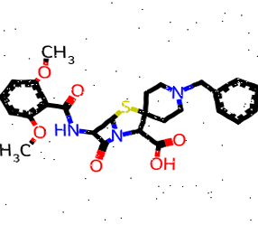 COc1cccc(OC)c1C(=O)NC1C(=O)N2C1SC1(CCN(Cc3ccccc3)CC1)C2C(=O)O